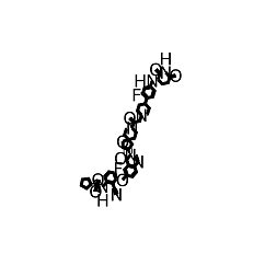 N#Cc1c(NS(=O)(=O)C2CCCC2)ccc(F)c1Oc1ccc2ncn([C@H]3COC4(CCN(C(=O)CN5CCC(c6ccc(NC7CCC(=O)NC7=O)cc6F)CC5)CC4)C3)c(=O)c2c1